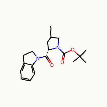 CC1C[C@@H](C(=O)N2CCc3ccccc32)N(C(=O)OC(C)(C)C)C1